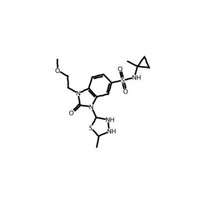 COCCn1c(=O)n(C2NNC(C)S2)c2cc(S(=O)(=O)NC3(C)CC3)ccc21